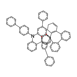 C1=CC2=C(CC1)C1(c3ccccc3-c3ccccc32)c2cc(-c3ccccc3)ccc2-c2c(N(c3ccc(-c4ccccc4)cc3)c3ccccc3-c3ccccc3)cc(-c3ccccc3)cc21